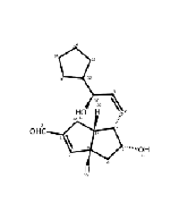 O=CC1=C[C@H]2C[C@@H](O)[C@@H](/C=C\[C@@H](O)C3CCCC3)[C@H]2C1